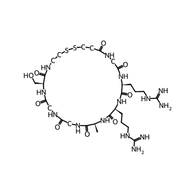 C[C@@H]1NC(=O)[C@H](CCCNC(=N)N)NC(=O)[C@H](CCCNC(=N)N)NC(=O)CNC(=O)CCSSCCNC(=O)[C@H](CO)NC(=O)CNC(=O)CNC1=O